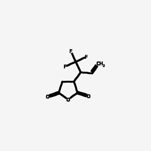 C=CC(C1CC(=O)OC1=O)C(F)(F)F